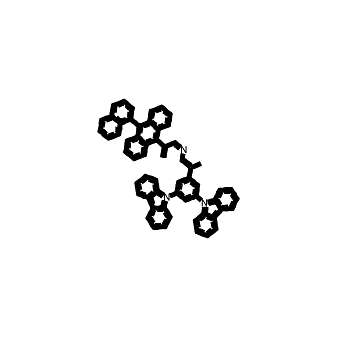 C=C(/C=N\C=C(/C)c1cc(-n2c3ccccc3c3ccccc32)cc(-n2c3ccccc3c3ccccc32)c1)c1c2ccccc2c(-c2cccc3ccccc23)c2ccccc12